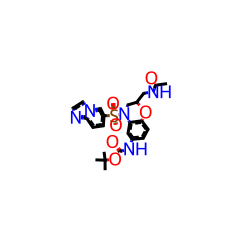 CC(=O)NCC1CN(S(=O)(=O)c2ccc3nccn3c2)c2cc(NC(=O)OC(C)(C)C)ccc2O1